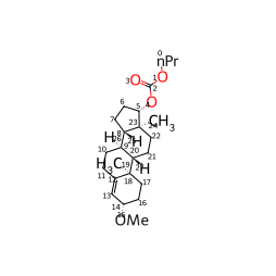 CCCOC(=O)O[C@H]1CC[C@H]2[C@@H]3CCC4=C[C@@H](OC)CC[C@]4(C)[C@H]3CC[C@]12C